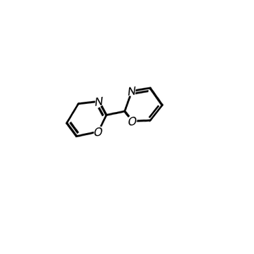 C1=COC(C2=NCC=CO2)N=C1